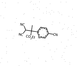 CCOC(=O)C(C)(c1ccc(C#N)cn1)C(C#N)C#N